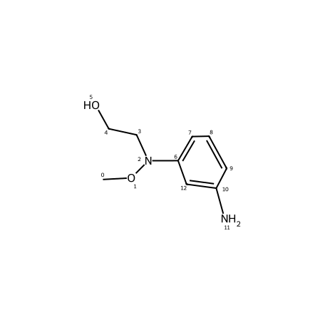 CON(CCO)c1cccc(N)c1